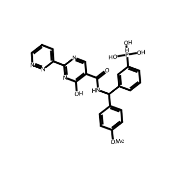 COc1ccc(C(NC(=O)c2cnc(-c3cccnn3)nc2O)c2cccc([PH](O)(O)O)c2)cc1